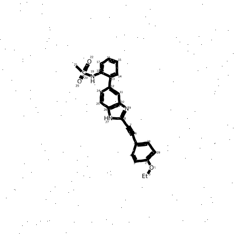 CCOc1ccc(C#Cc2nc3cc(-c4ccccc4NS(C)(=O)=O)ccc3[nH]2)cc1